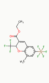 CCOC(=O)C1=Cc2cc(S(F)(F)(F)(F)F)cc(C)c2OC1C(F)(F)F